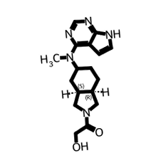 CN(c1ncnc2[nH]ccc12)C1CC[C@H]2CN(C(=O)CO)C[C@H]2C1